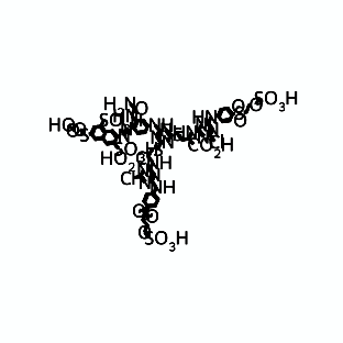 NC(=O)Nc1cc(Nc2nc(SCC(Nc3nc(Cl)nc(Nc4ccc(S(=O)(=O)CCOS(=O)(=O)O)cc4)n3)C(=O)O)nc(SCC(Nc3nc(Cl)nc(Nc4ccc(S(=O)(=O)CCOS(=O)(=O)O)cc4)n3)C(=O)O)n2)ccc1/N=N/c1cc2c(S(=O)(=O)O)cc(SOOO)cc2cc1S(=O)(=O)O